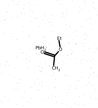 CCOC(C)=O.[PbH2]